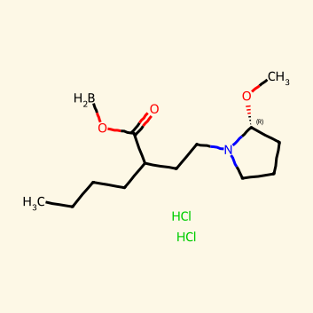 BOC(=O)C(CCCC)CCN1CCC[C@H]1OC.Cl.Cl